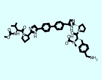 COC(=O)N[C@H](C(=O)N1CCCC1c1ncc(-c2ccc(-c3ccc(-c4cnc([C@@H]5CCCN5C(=O)[C@H](Cc5ccc(CN)cc5)N(C)C(=O)O)[nH]4)cc3)cc2)[nH]1)C(C)C